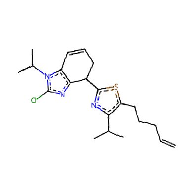 C=CCCCc1sc(C2CC=Cc3c2nc(Cl)n3C(C)C)nc1C(C)C